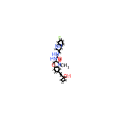 CN1C(=O)[C@@H](NC(=O)N/C=C(\C=N)Cc2ccc(F)cc2)COc2ccc(C#CC3(O)CCC3)cc21